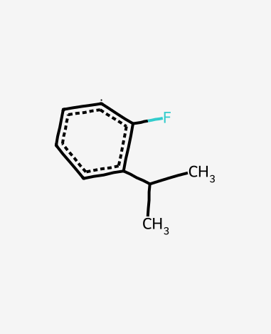 CC(C)c1ccc[c]c1F